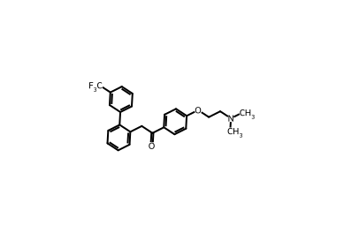 CN(C)CCOc1ccc(C(=O)Cc2ccccc2-c2cccc(C(F)(F)F)c2)cc1